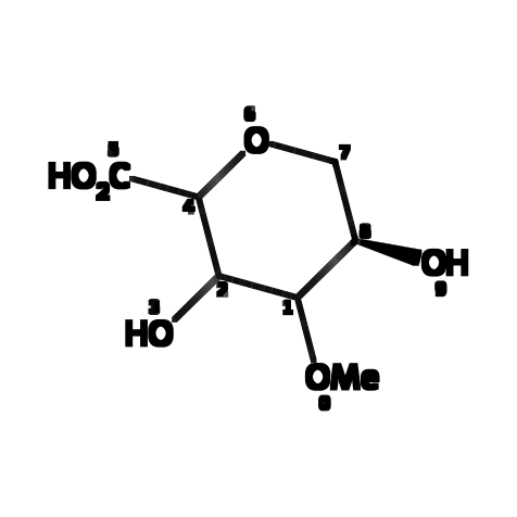 COC1C(O)C(C(=O)O)OC[C@H]1O